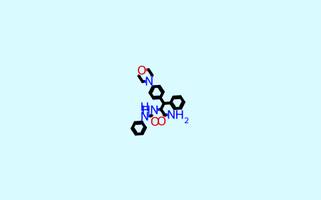 NC(=O)C(NC(=O)Nc1ccccc1)C(c1ccccc1)c1ccc(N2CCOCC2)cc1